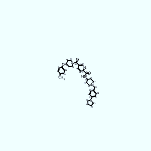 Cc1ccc(OC2CCN(C(=O)c3ccc(C(=O)NC4CCN(Cc5ccc(N6CCCC6)cc5)CC4)nc3)CC2)cc1